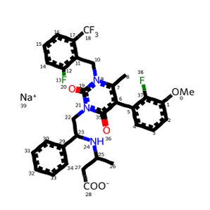 COc1cccc(-c2c(C)n(Cc3c(F)cccc3C(F)(F)F)c(=O)n(CC(NC(C)CC(=O)[O-])c3ccccc3)c2=O)c1F.[Na+]